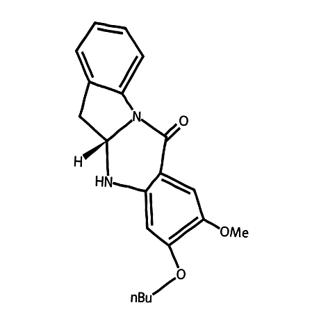 CCCCOc1cc2c(cc1OC)C(=O)N1c3ccccc3C[C@H]1N2